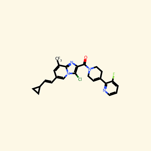 O=C(c1nc2c(C(F)(F)F)cc(C=CC3CC3)cn2c1Cl)N1CC=C(c2ncccc2F)CC1